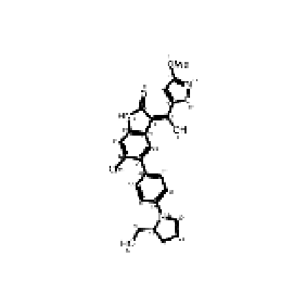 COc1cc(/C(O)=C2\C(=O)Nc3cc(Cl)c(-c4ccc(N5CCC[C@H]5CO)cc4)cc32)on1